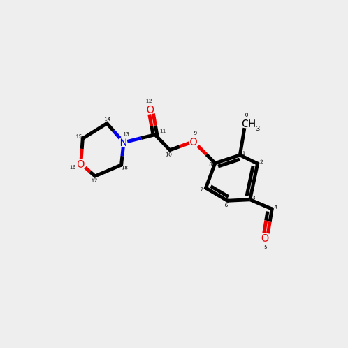 Cc1cc(C=O)ccc1OCC(=O)N1CCOCC1